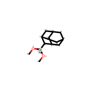 CO[SiH](OC)C1C2CC3CC(C2)CC1C3